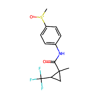 C[S+]([O-])c1ccc(NC(=O)C2(C)CC2C(F)(F)F)cc1